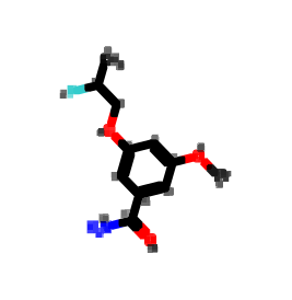 CC(F)COc1cc(OC(C)C)cc(C(N)=O)c1